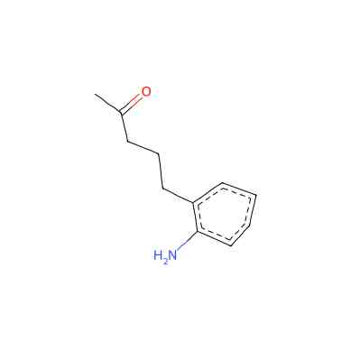 CC(=O)CCCc1ccccc1N